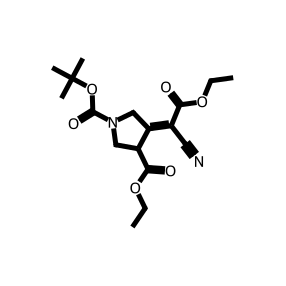 CCOC(=O)C(C#N)=C1CN(C(=O)OC(C)(C)C)CC1C(=O)OCC